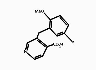 COc1ccc(F)cc1Cc1cnccc1C(=O)O